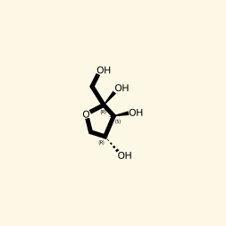 OC[C@@]1(O)OC[C@@H](O)[C@@H]1O